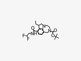 CCC1CN2CCN(C(=O)OC(C)(C)C)Cc3ccc(C(=O)NCC(F)F)c1c32